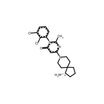 Cc1nc(N2CCC3(CCC[C@@H]3N)CC2)cc(=O)n1-c1cccc(Cl)c1Cl